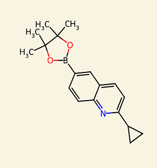 CC1(C)OB(c2ccc3nc(C4CC4)ccc3c2)OC1(C)C